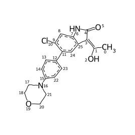 C/C(O)=C1\C(=O)Nc2cc(Cl)c(-c3ccc(N4CCOCC4)cc3)cc21